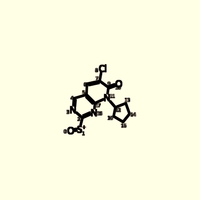 O=[S+]c1ncc2cc(Cl)c(=O)n(C3CCCC3)c2n1